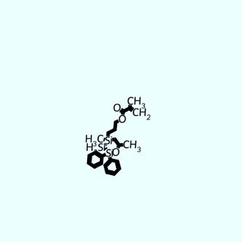 C=C(C)C(=O)OCCC[Si]1(C)CC(C)O[Si](c2ccccc2)(c2ccccc2)[SiH2]1